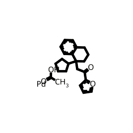 CC(=O)O.O=C(CC1(C2CCCC2)CCCc2ccccc21)c1ccco1.[Pd]